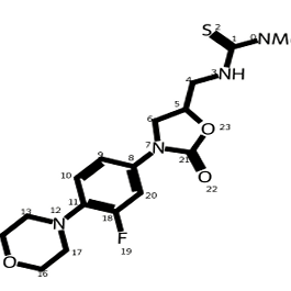 CNC(=S)NCC1CN(c2ccc(N3CCOCC3)c(F)c2)C(=O)O1